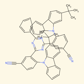 CC(C)(C)c1ccc2c3ccccc3n(-c3ccc(C#N)cc3-c3nc(-c4ccccc4)nc(-c4cc(C#N)ccc4-n4c5ccccc5c5ccc(C(C)(C)C)cc54)n3)c2c1